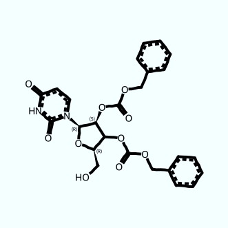 O=C(OCc1ccccc1)OC1[C@@H](CO)O[C@@H](n2ccc(=O)[nH]c2=O)[C@H]1OC(=O)OCc1ccccc1